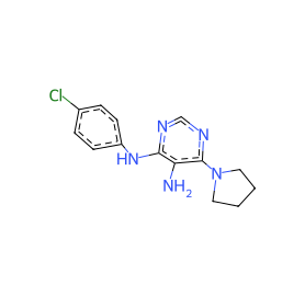 Nc1c(Nc2ccc(Cl)cc2)ncnc1N1CCCC1